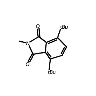 CN1C(=O)c2c(C(C)(C)C)ccc(C(C)(C)C)c2C1=O